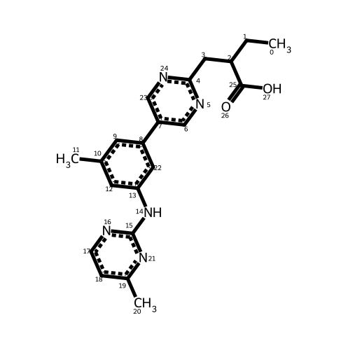 CCC(Cc1ncc(-c2cc(C)cc(Nc3nccc(C)n3)c2)cn1)C(=O)O